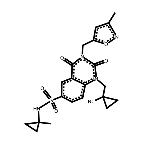 Cc1cc(Cn2c(=O)c3cc(S(=O)(=O)NC4(C)CC4)ccc3n(CC3(C#N)CC3)c2=O)on1